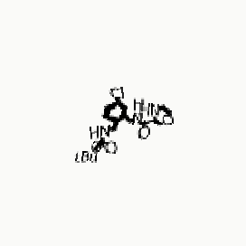 CC(C)(C)OC(=O)NCc1ccc(Cl)cc1CNC(=O)[C@@H]1COCCN1